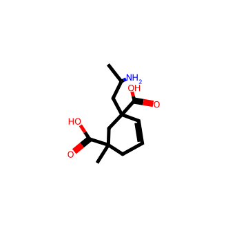 CC(N)CC1(C(=O)O)C=CCC(C)(C(=O)O)C1